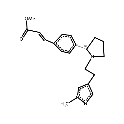 COC(=O)C=Cc1ccc([C@@H]2CCCN2CCc2cnn(C)c2)cc1